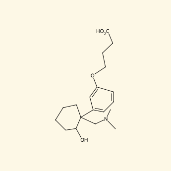 CN(C)CC1(c2cccc(OCCCC(=O)O)c2)CCCCC1O